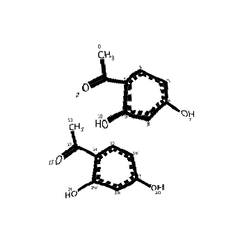 CC(=O)c1ccc(O)cc1O.CC(=O)c1ccc(O)cc1O